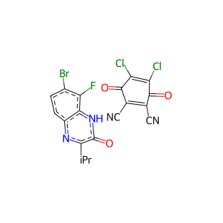 CC(C)c1nc2ccc(Br)c(F)c2[nH]c1=O.N#CC1=C(C#N)C(=O)C(Cl)=C(Cl)C1=O